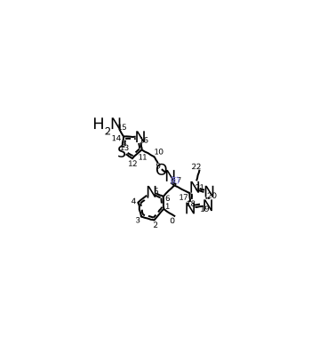 Cc1cccnc1/C(=N\OCc1csc(N)n1)c1nnnn1C